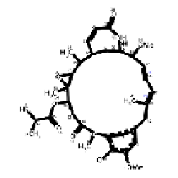 COc1cc2cc(c1Cl)N(C)C(=O)CC(OC(=O)C(C)S)C1(C)OC1C(C)C1C=CC(=O)NC(O)(C1)C(OC)/C=C/C=C(\C)C2